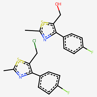 Cc1nc(-c2ccc(F)cc2)c(CCl)s1.Cc1nc(-c2ccc(F)cc2)c(CO)s1